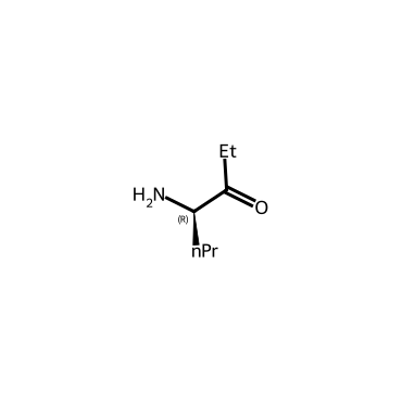 CCC[C@@H](N)C(=O)CC